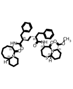 COC(=O)[C@@H]1CCC[C@@H]2SCC[C@H](NC(=O)[C@H](CC[C@H](Cc3ccccc3)C(=O)N[C@H]3CCCC[C@H]4CCCCN4C3=O)Cc3ccccc3)C(=O)N21